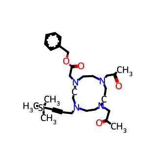 CC(=O)CN1CCN(CC#C[Si](C)(C)C)CCN(CC(=O)OCc2ccccc2)CCN(CC(C)=O)CC1